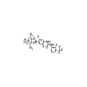 CC1(C)OB(c2cc(F)c(NC(=O)Nc3cccc(C(F)(F)F)c3F)cc2F)OC1(C)C